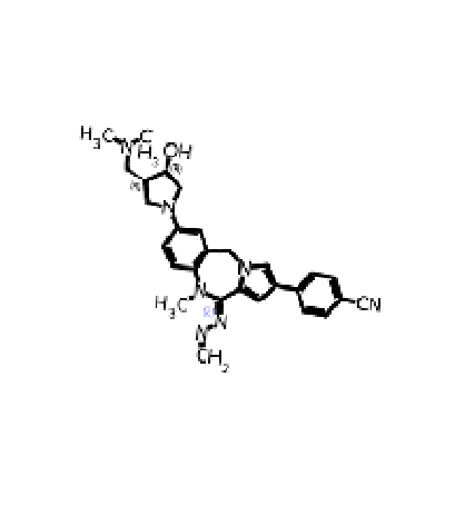 C=N/N=C1/c2cc(-c3ccc(C#N)cc3)cn2Cc2cc(N3C[C@@H](CN(C)C)[C@@H](O)C3)ccc2N1C